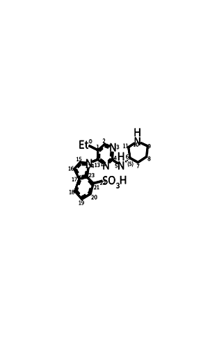 CCc1cnc(N[C@H]2CCCNC2)nc1-n1ccc2cccc(S(=O)(=O)O)c21